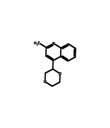 Cc1cc(C2COCCO2)c2ccccc2n1